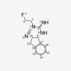 N#CN(CCF)C(=N)N[C@H]1CCc2ccccc21